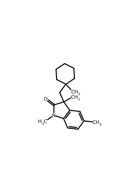 Cc1ccc2c(c1)C(C)(CC1(C)CCCCC1)C(=O)N2C